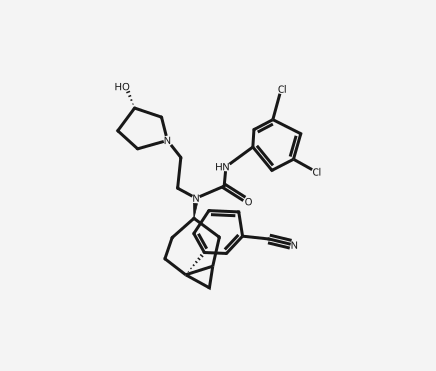 N#Cc1cccc([C@]23CC[C@@H](N(CCN4CC[C@H](O)C4)C(=O)Nc4cc(Cl)cc(Cl)c4)CC2C3)c1